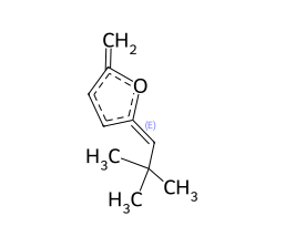 C=c1cc/c(=C\C(C)(C)C)o1